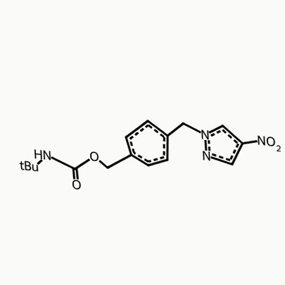 CC(C)(C)NC(=O)OCc1ccc(Cn2cc([N+](=O)[O-])cn2)cc1